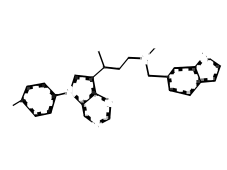 CCN(CCC(C)c1cn(-c2ccc(F)cc2)c2cncnc12)Cc1ccc2cc[nH]c2c1